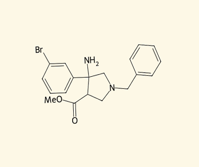 COC(=O)C1CN(Cc2ccccc2)CC1(N)c1cccc(Br)c1